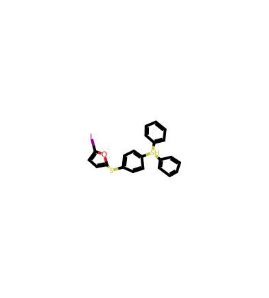 Ic1ccc(Sc2ccc([SH](c3ccccc3)c3ccccc3)cc2)o1